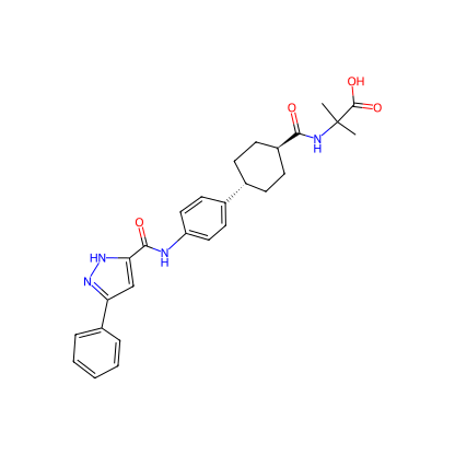 CC(C)(NC(=O)[C@H]1CC[C@H](c2ccc(NC(=O)c3cc(-c4ccccc4)n[nH]3)cc2)CC1)C(=O)O